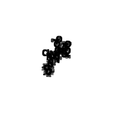 CC(=O)OC[C@H]1O[C@@H](n2cnc3c(N4CCC5(CCc6ccccc65)C4)nc(Cl)nc32)[C@H](OC(C)=O)[C@@H]1OC(C)=O